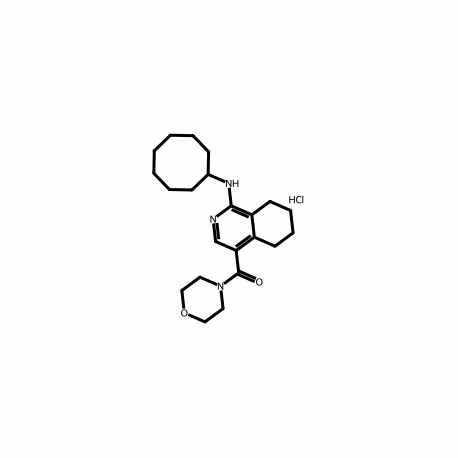 Cl.O=C(c1cnc(NC2CCCCCCC2)c2c1CCCC2)N1CCOCC1